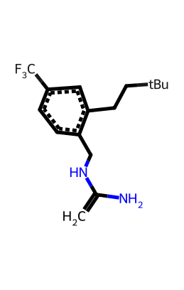 C=C(N)NCc1ccc(C(F)(F)F)cc1CCC(C)(C)C